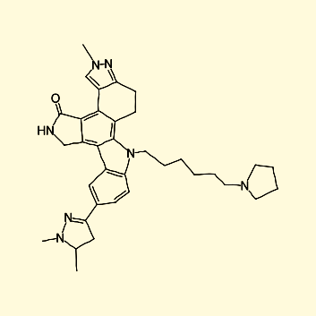 CC1CC(c2ccc3c(c2)c2c4c(c5c(c2n3CCCCCCN2CCCC2)CCc2nn(C)cc2-5)C(=O)NC4)=NN1C